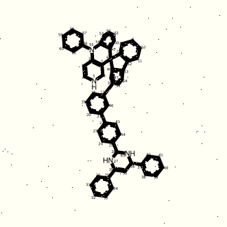 C1=CC2=C(CN1)C1(c3ccccc3-c3ccc(-c4cccc(-c5ccc(C6NC(c7ccccc7)=CC(c7ccccc7)N6)cc5)c4)cc31)c1ccccc1N2c1ccccc1